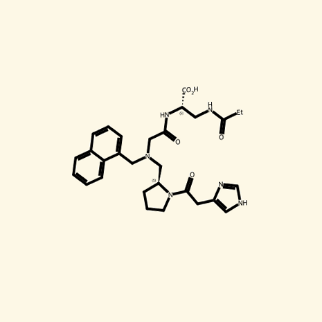 CCC(=O)NC[C@H](NC(=O)CN(Cc1cccc2ccccc12)C[C@@H]1CCCN1C(=O)Cc1c[nH]cn1)C(=O)O